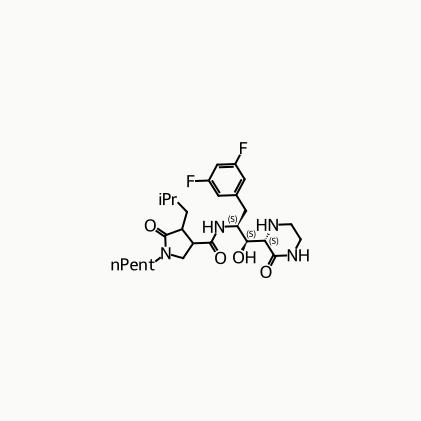 CCCCCN1CC(C(=O)N[C@@H](Cc2cc(F)cc(F)c2)[C@H](O)[C@@H]2NCCNC2=O)C(CC(C)C)C1=O